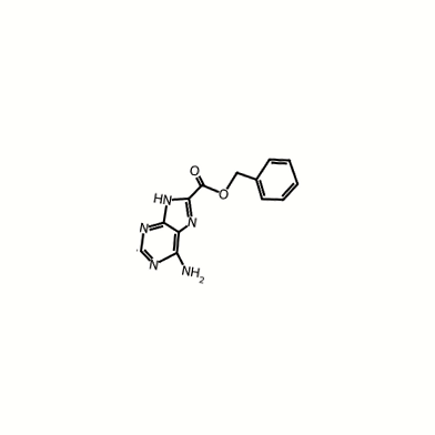 Nc1n[c]nc2[nH]c(C(=O)OCc3ccccc3)nc12